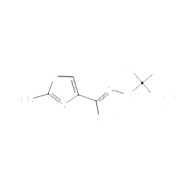 CCOC(=O)C(=NOC(C)(C)C(=O)O)c1csc(N)n1